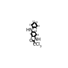 O=C(Nc1ccc(Nc2ccccc2)cc1)C(Cl)(Cl)Cl